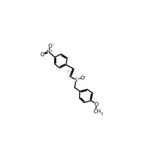 COc1ccc(C[S+]([O-])/C=C/c2ccc([N+](=O)[O-])cc2)cc1